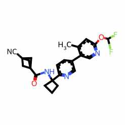 Cc1cc(OC(F)F)ncc1-c1ccc(C2(NC(=O)C34CC(C#N)(C3)C4)CCC2)nc1